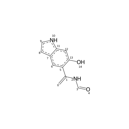 C=C(NC=O)c1cc2cc[nH]c2cc1O